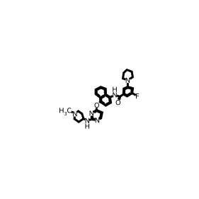 CN1CCC(Nc2nccc(Oc3ccc(NC(=O)c4cc(F)cc(N5CCCCC5)c4)c4ccccc34)n2)CC1